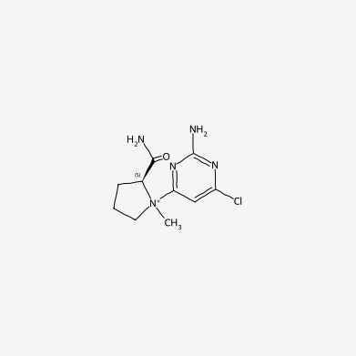 C[N+]1(c2cc(Cl)nc(N)n2)CCC[C@H]1C(N)=O